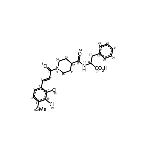 CSc1ccc(C=CC(=O)N2CCC(C(=O)NC(Cc3ccccn3)C(=O)O)CC2)c(Cl)c1Cl